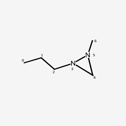 CCCN1CN1C